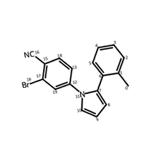 Cc1ccccc1-c1cccn1-c1ccc(C#N)c(Br)c1